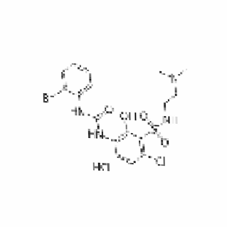 CN(C)CCNS(=O)(=O)c1c(Cl)ccc(NC(=O)Nc2ccccc2Br)c1O.Cl